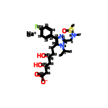 CC(C)n1c(CN(C)[S+](C)[O-])nc(-c2ccc(F)cc2)c1CC[C@@H](O)C[C@@H](O)CC(=O)[O-].[Na+]